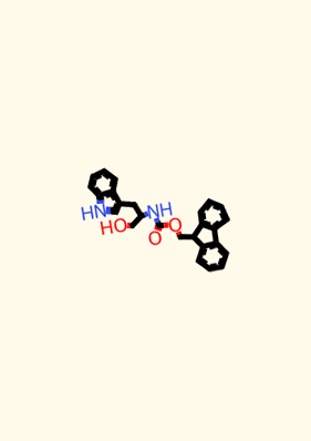 O=C(NC(CO)Cc1c[nH]c2ccccc12)OCC1c2ccccc2-c2ccccc21